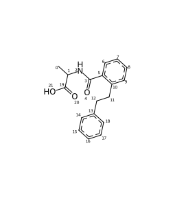 CC(NC(=O)c1ccccc1CCc1ccccc1)C(=O)O